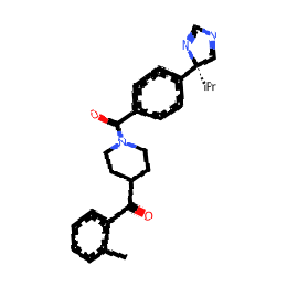 Cc1ccccc1C(=O)C1CCN(C(=O)c2ccc([C@]3(C(C)C)C=NC=N3)cc2)CC1